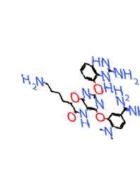 CN(C)c1ccc(C(=N)N)cc1Oc1nc(Oc2ccccc2NC(=N)N)nc2c1NC(=O)C(CCCCN)O2